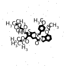 COCOc1cccc2c1CN(C(=O)C1Cc3c(sc(NC(=O)C(=O)OC(C)(C)C)c3C(=O)OC(C)(C)C)CN1Cc1ccc(OC)cc1)C2